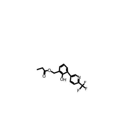 CCC(=O)OCc1cccc(-c2ccc(C(F)(F)F)nc2)c1O